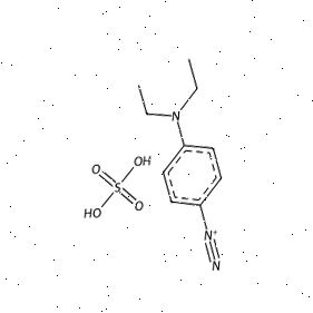 CCN(CC)c1ccc([N+]#N)cc1.O=S(=O)(O)O